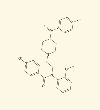 COc1ccccc1N(CCN1CCC(C(=O)c2ccc(F)cc2)CC1)C(=O)c1cc[n+]([O-])cc1